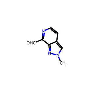 Cn1cc2ccnc(C=O)c2n1